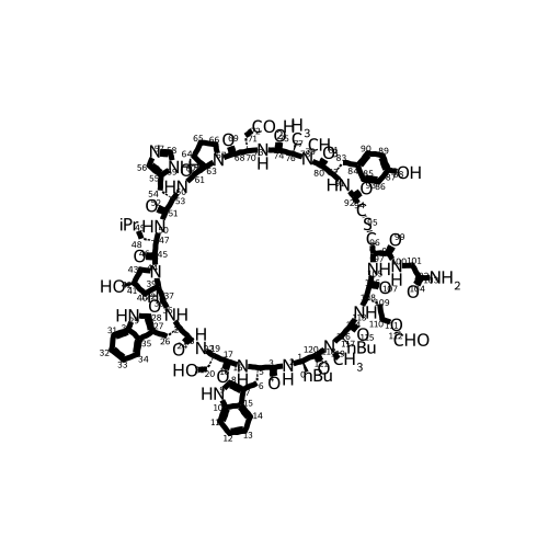 CCCC[C@H]1NC(=O)[C@H](Cc2c[nH]c3ccccc23)NC(=O)[C@H](CO)NC(=O)[C@H](Cc2c[nH]c3ccccc23)NC(=O)[C@@H]2C[C@@H](O)CN2C(=O)[C@H](CC(C)C)NC(=O)[C@H](Cc2cnc[nH]2)NC(=O)[C@@H]2CCCN2C(=O)[C@H](CC(=O)O)NC(=O)[C@H](C)N(C)C(=O)[C@H](Cc2ccc(O)cc2)NC(=O)CSCC(C(=O)NCC(N)=O)NC(=O)[C@H](CCOC=O)NC(=O)[C@H](CCCC)N(C)C1=O